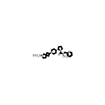 CCOC(=O)N1CCC2(CC(N3CCC([C@@H]4CCCN4C(=O)N(C)Cc4ccccn4)CC3)C2)C1